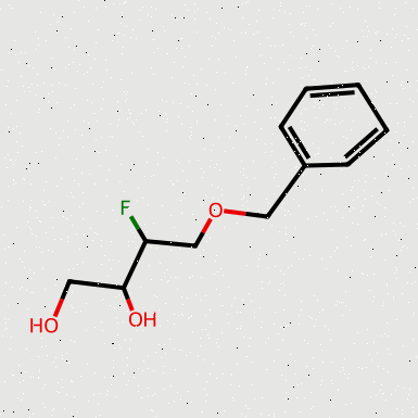 OCC(O)C(F)COCc1ccccc1